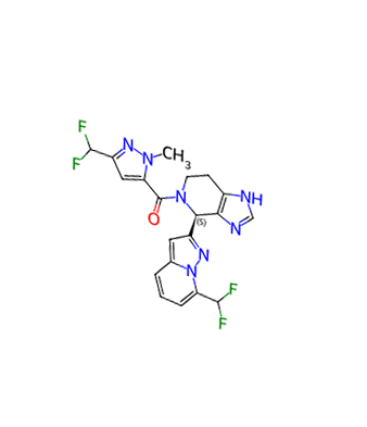 Cn1nc(C(F)F)cc1C(=O)N1CCc2[nH]cnc2[C@H]1c1cc2cccc(C(F)F)n2n1